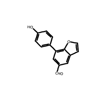 O=Cc1cc(-c2ccc(O)cc2)c2occc2c1